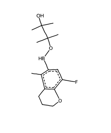 Cc1c(BOC(C)(C)C(C)(C)O)cc(F)c2c1CCCO2